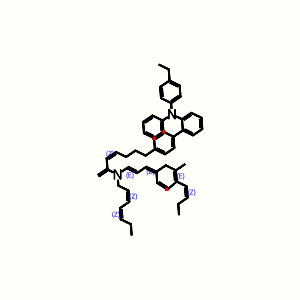 C=C/C(=C\C=C\N(C/C=C\C=C/CC)C(=C)/C=C\CCCc1ccc(-c2ccccc2N(c2ccccc2)c2ccc(CC)cc2)cc1)C/C(C)=C(C)/C=C\CC